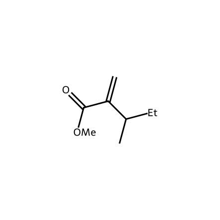 C=C(C(=O)OC)C(C)CC